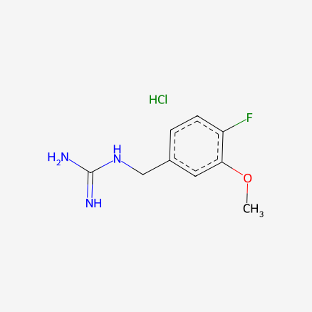 COc1cc(CNC(=N)N)ccc1F.Cl